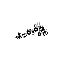 CCOC(CN1CCN(C2CCC(NC(=O)c3ccc(Nc4ncc5c(n4)N(C4CCCC4)[C@H](CC)C(=O)N5C)c(OC)c3)CC2)CC1)OCC